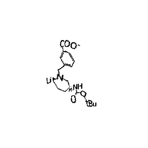 CC(C)(C)OC(=O)N[C@@H]1CCCN(Cc2cccc(C(=O)[O-])c2)C1.[Li+]